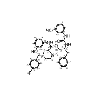 N#Cc1cccc(NC(=O)N[C@@H](Cc2ccccc2)[C@H](CN2CCC(Cc3ccc(F)cc3)CC2)OC(=O)Nc2cccc(C#N)c2)c1